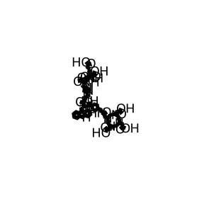 O=C(O)CSC[C@H](NC(=O)N[C@@H](Cc1cn(CCNC(=O)[C@H](Cc2c3ccccc3cc3ccccc23)NC(=O)C2CCC(CNC(=O)CN3CCN(CC(=O)O)CCN(CC(=O)O)CCN(CC(=O)O)CC3)CC2)nn1)C(=O)O)C(=O)O